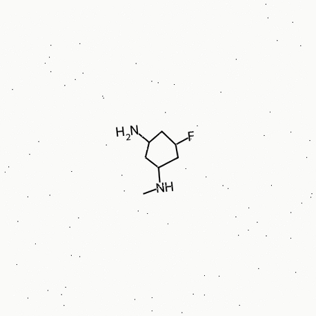 CNC1CC(N)CC(F)C1